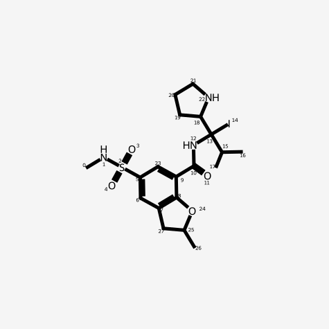 CNS(=O)(=O)c1cc2c(c(C(=O)NC(I)(C(C)C)C3CCCN3)c1)OC(C)C2